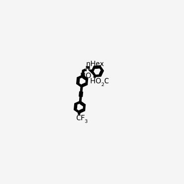 CCCCCCN(Cc1ccc(C#Cc2ccc(C(F)(F)F)cc2)cc1)C1(O)C=CC=CC1C(=O)O